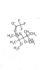 COC(C)(OC)C([SiH3])(OC)[N+](C)(C)C.O=C([O-])C(F)(F)F